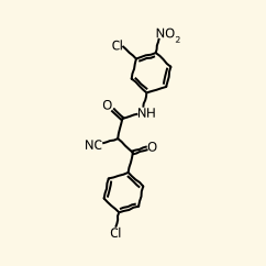 N#CC(C(=O)Nc1ccc([N+](=O)[O-])c(Cl)c1)C(=O)c1ccc(Cl)cc1